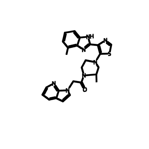 Cc1cccc2[nH]c(-c3ncsc3N3CCN(C(=O)Cn4ccc5cccnc54)C(C)C3)nc12